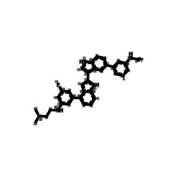 CC(C)Nc1cncc(-c2ccc3[nH]nc(-c4cc5c(-c6cc(F)cc(NCCN(C)C)c6)cccc5[nH]4)c3c2)c1